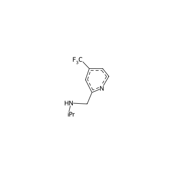 CC(C)NCc1cc(C(F)(F)F)ccn1